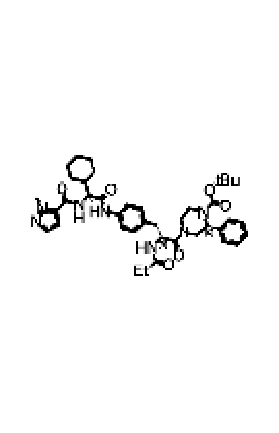 CCC(=O)N[C@H](Cc1ccc(NC(=O)[C@@H](NC(=O)c2ccnn2C)C2CCCCC2)cc1)C(=O)N1CCN(C(=O)OC(C)(C)C)[C@@H](c2ccccc2)C1